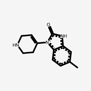 Cc1ccc2c(c1)[nH]c(=O)n2C1=CCNCC1